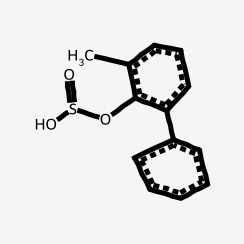 Cc1cccc(-c2ccccc2)c1OS(=O)O